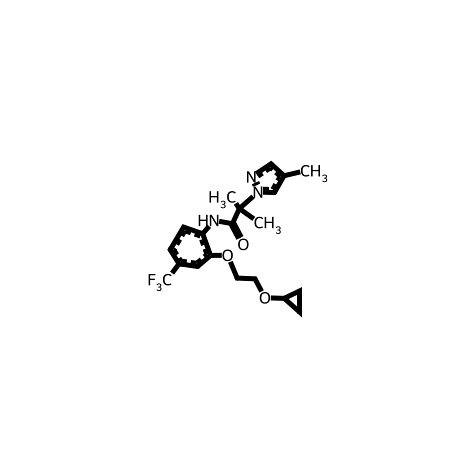 Cc1cnn(C(C)(C)C(=O)Nc2ccc(C(F)(F)F)cc2OCCOC2CC2)c1